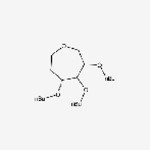 CCCCOC1COCC[C@@H](OCCCC)C1OCCCC